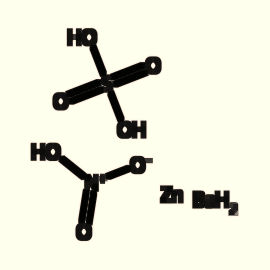 O=S(=O)(O)O.O=[N+]([O-])O.[BaH2].[Zn]